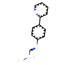 CCC(C)NC=Nc1ccc(-c2ccccn2)cc1